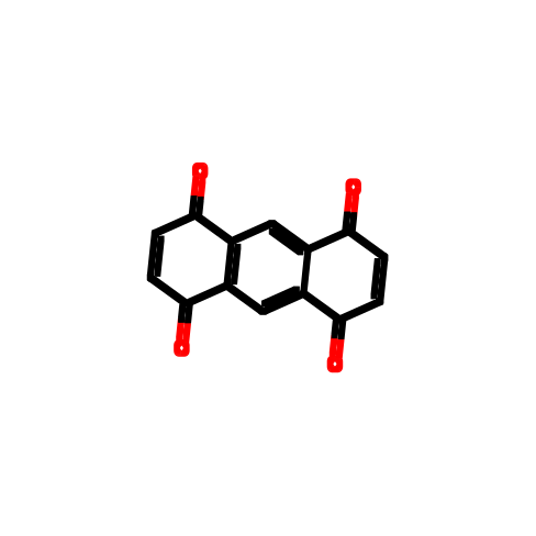 O=c1ccc(=O)c2cc3c(=O)ccc(=O)c3cc12